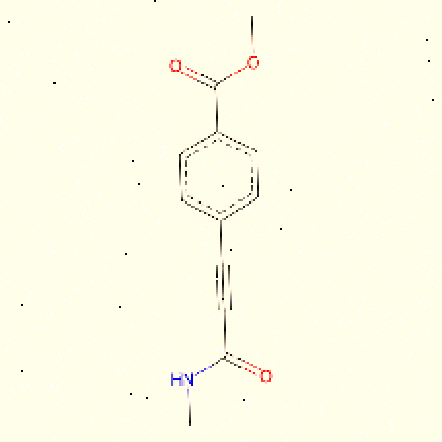 CNC(=O)C#Cc1ccc(C(=O)OC)cc1